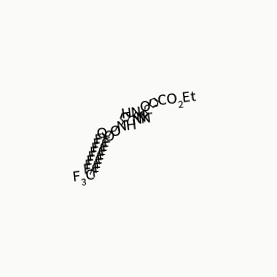 CCOC(=O)c1ccc(Oc2c(C)nn3nc(-c4cccc(NCOCOC(=O)C(F)(F)C(F)(F)C(F)(F)C(F)(F)C(F)(F)C(F)(F)C(F)(F)C(F)(F)C(F)(F)F)c4)[nH]c23)cc1